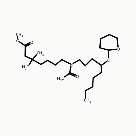 CCCCCC(CCCN(CCCCC(C)(C)CC(=O)OC)C(C)=O)OC1CCCCO1